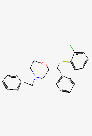 Clc1ccccc1SC(c1ccccc1)[C@@H]1CN(Cc2ccccc2)CCO1